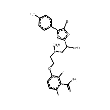 CNC(CN(CCOc1ccc(F)c(C(N)=O)c1F)C(=O)O)c1nc(-c2ccc(C(F)(F)F)cc2)c(Br)o1